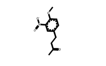 COc1ccc(CCC(C)=O)cc1[N+](=O)[O-]